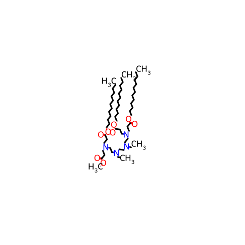 CCCCCCCCCCCCCOC(=O)CCN(CCC(=O)OC)CCN(CC)CCN(CC)CCN(CCC(=O)OCCCCCCCCCCCCC)CCC(=O)OCCCCCCCCCCCCC